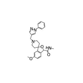 CNC(=O)C1OC2(CCN(Cc3cnn(-c4ccccc4)c3)CC2)c2cc(OC)ccc21